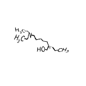 CCC[C@H](CO)CCCCCN(CC)CC